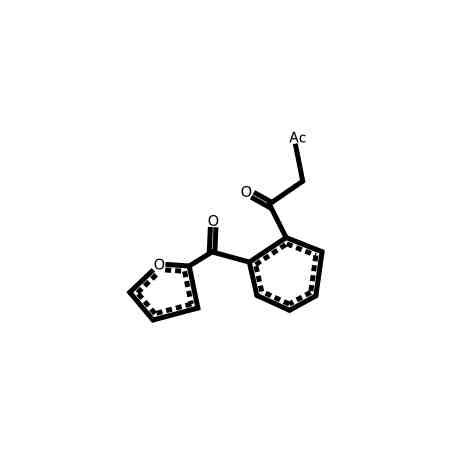 CC(=O)CC(=O)c1ccccc1C(=O)c1ccco1